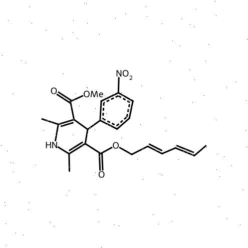 CC=CC=CCOC(=O)C1=C(C)NC(C)=C(C(=O)OC)C1c1cccc([N+](=O)[O-])c1